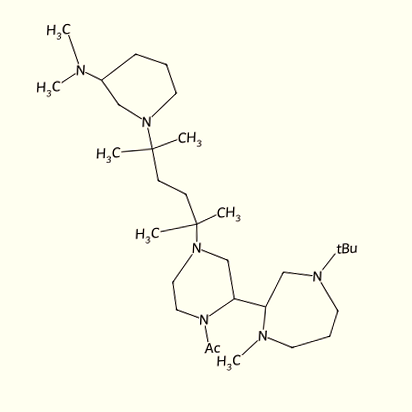 CC(=O)N1CCN(C(C)(C)CCC(C)(C)N2CCCC(N(C)C)C2)CC1C1CN(C(C)(C)C)CCCN1C